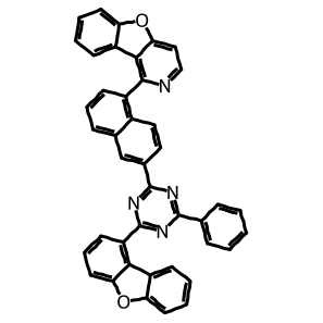 c1ccc(-c2nc(-c3ccc4c(-c5nccc6oc7ccccc7c56)cccc4c3)nc(-c3cccc4oc5ccccc5c34)n2)cc1